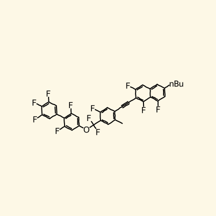 CCCCc1cc(F)c2c(F)c(C#Cc3cc(F)c(C(F)(F)Oc4cc(F)c(-c5cc(F)c(F)c(F)c5)c(F)c4)cc3C)c(F)cc2c1